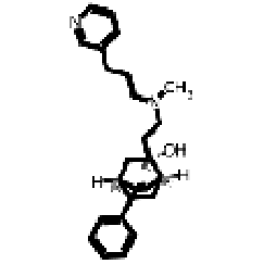 CN(CCCc1cccnc1)CC[C@]1(O)C[C@H]2CC[C@@H]1C=C2c1ccccc1